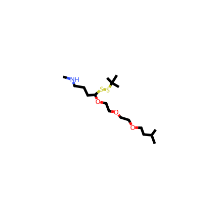 CNCCCC(OCCOCCOCCC(C)C)SSC(C)(C)C